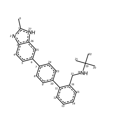 Cc1nc2ccc(-c3ccc(-c4ccccc4CNC(C)(C)C)cc3)cc2[nH]1